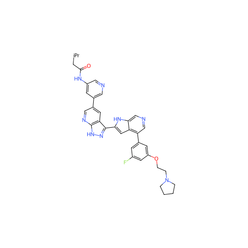 CC(C)CC(=O)Nc1cncc(-c2cnc3[nH]nc(-c4cc5c(-c6cc(F)cc(OCCN7CCCC7)c6)cncc5[nH]4)c3c2)c1